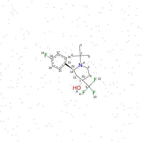 CC(C)(C)N1CC[C@@](O)(C(F)(F)F)C[C@H]1c1ccc(F)cc1